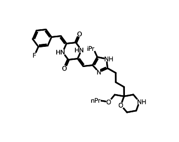 CCCOCC1(CCCc2nc(/C=c3\[nH]c(=O)/c(=C/c4cccc(F)c4)[nH]c3=O)c(C(C)C)[nH]2)CNCCO1